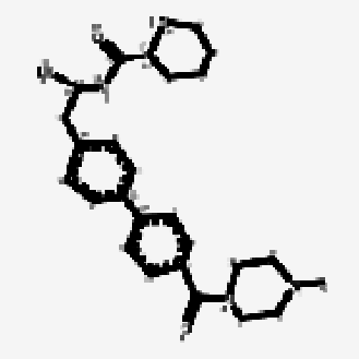 CN1CCN(C(=O)c2ccc(-c3ccc(C[C@@H](N)NC(=O)[C@@H]4CCCCN4)cc3)cc2)CC1